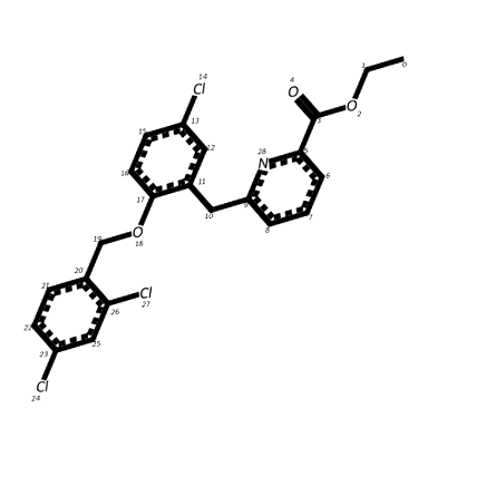 CCOC(=O)c1cccc(Cc2cc(Cl)ccc2OCc2ccc(Cl)cc2Cl)n1